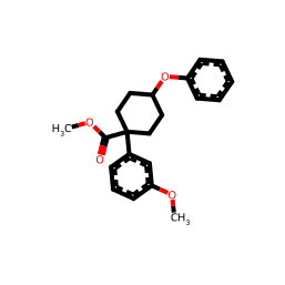 COC(=O)C1(c2cccc(OC)c2)CCC(Oc2ccccc2)CC1